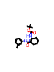 Cc1cccc(NC(=O)C2CCCCC2NC(=O)OC(C)(C)C)c1